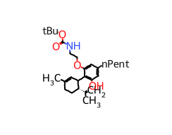 C=C(C)[C@@H]1CCC(C)=CC1c1c(O)cc(CCCCC)cc1OCCNC(=O)OC(C)(C)C